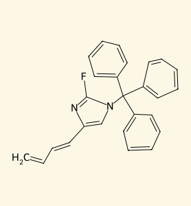 C=CC=Cc1cn(C(c2ccccc2)(c2ccccc2)c2ccccc2)c(F)n1